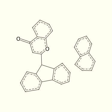 O=c1cc(C2c3ccccc3-c3ccccc32)oc2ccccc12.c1ccc2ccccc2c1